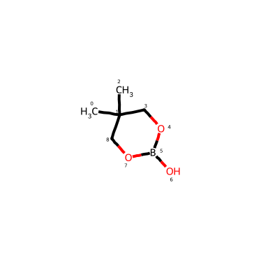 CC1(C)COB(O)OC1